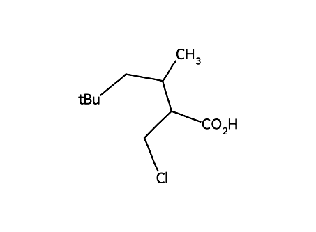 CC(CC(C)(C)C)C(CCl)C(=O)O